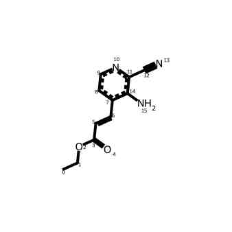 CCOC(=O)C=Cc1ccnc(C#N)c1N